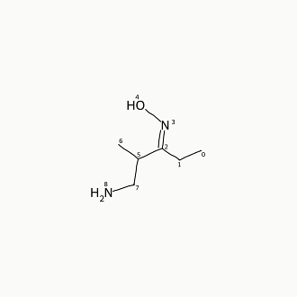 CCC(=NO)C(C)CN